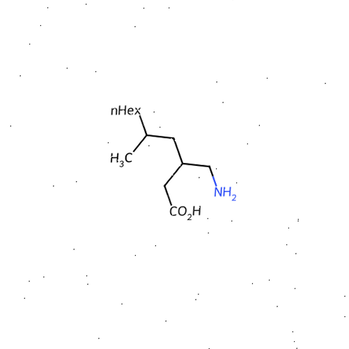 CCCCCCC(C)CC(CN)CC(=O)O